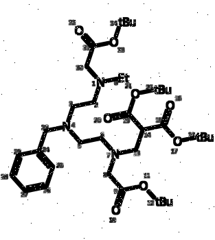 CCN(CCN(CCN(CC(=O)OC(C)(C)C)CC(C(=O)OC(C)(C)C)C(=O)OC(C)(C)C)Cc1ccccc1)CC(=O)OC(C)(C)C